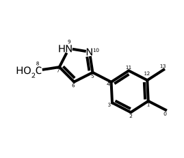 Cc1ccc(-c2cc(C(=O)O)[nH]n2)cc1C